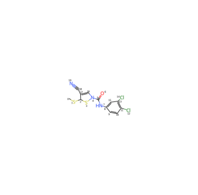 CSC1SN(C(=O)Nc2ccc(Cl)c(Cl)c2)C=C1C#N